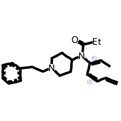 C=C/C=C\C(=C/C)N(C(=O)CC)C1CCN(CCc2ccccc2)CC1